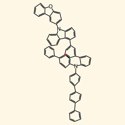 c1ccc(-c2ccc(-c3ccc(N(c4ccc(-c5ccccc5)cc4)c4ccccc4-c4cccc(-c5cccc6c5c5ccccc5n6-c5ccc6oc7ccccc7c6c5)c4)cc3)cc2)cc1